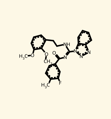 COc1cccc(CCN/C(=N\C(=O)c2ccc(C)c(F)c2)n2nnc3ccccc32)c1OC